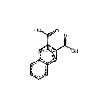 O=C(O)c1c(C(=O)O)c2c3ccccc3c1CC2